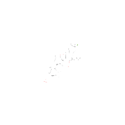 CNC(=O)c1c(-c2ccc(F)cc2)oc2ccc(-c3ccc(CO)cc3)cc12